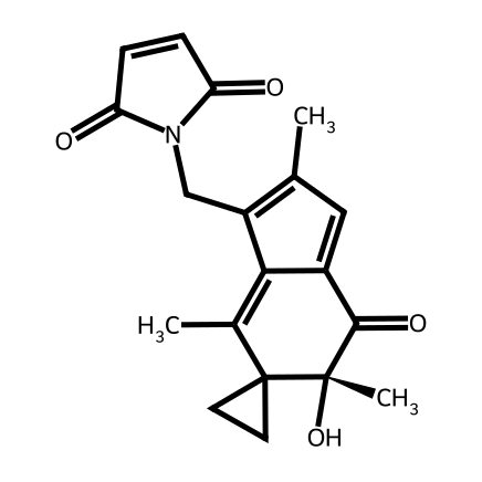 CC1=C(CN2C(=O)C=CC2=O)C2=C(C)C3(CC3)[C@@](C)(O)C(=O)C2=C1